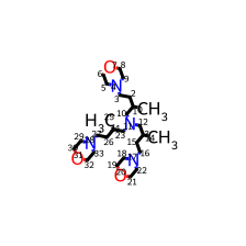 CC(CCN1CCOCC1)CN(CC(C)CCN1CCOCC1)CC(C)CCN1CCOCC1